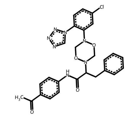 CC(=O)c1ccc(NC(=O)C(Cc2ccccc2)N2CON(c3cc(Cl)ccc3-n3cnnn3)CO2)cc1